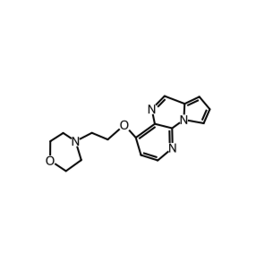 c1cc2cnc3c(OCCN4CCOCC4)ccnc3n2c1